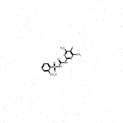 Cc1nc(NC(=O)NS(=O)(=O)c2ccccc2C(=O)O)nc(C)c1I